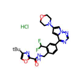 CC(C)(C)c1coc(C(=O)NCc2ccc(-c3ncnn4cc(N5CCOCC5)cc34)cc2C(F)F)n1.Cl